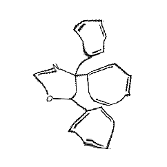 [c]1ccc(C2OC=NC2(c2cc[c]cc2)c2ccccc2)cc1